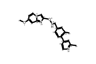 COc1ccn2cc(ONCc3ccc(-c4ccnc(C)c4)c(C)c3)nc2c1